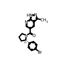 Cc1n[nH]c2ncc(C(=O)N3CCC[C@H]3c3ccc(Br)cc3)cc12